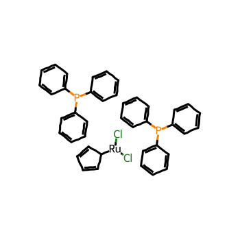 [Cl][Ru]([Cl])[CH]1C=CC=C1.c1ccc(P(c2ccccc2)c2ccccc2)cc1.c1ccc(P(c2ccccc2)c2ccccc2)cc1